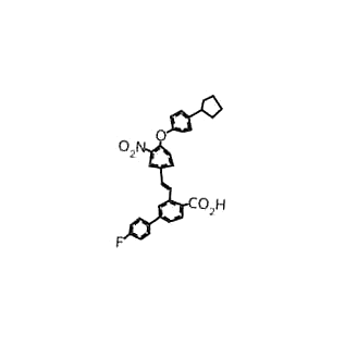 O=C(O)c1ccc(-c2ccc(F)cc2)cc1C=Cc1ccc(Oc2ccc(C3CCCC3)cc2)c([N+](=O)[O-])c1